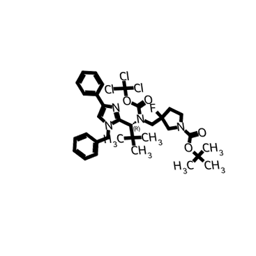 CC(C)(C)OC(=O)N1CCC(F)(CN(C(=O)OC(Cl)(Cl)Cl)[C@@H](c2nc(-c3ccccc3)cn2Cc2ccccc2)C(C)(C)C)C1